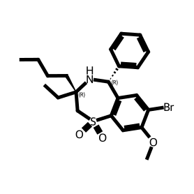 CCCC[C@]1(CC)CS(=O)(=O)c2cc(OC)c(Br)cc2[C@@H](c2ccccc2)N1